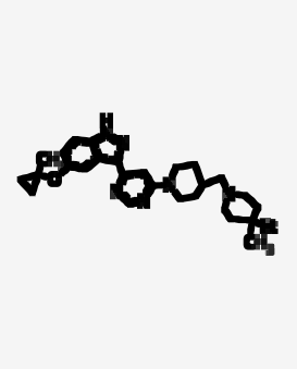 CCC1(C)CCN(CC2CCN(c3cc(-c4n[nH]c5ccc(OC6(C)CC6)cc45)ncn3)CC2)CC1